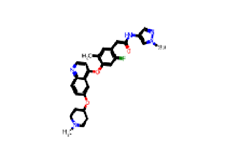 Cc1cc(CC(=O)Nc2cnn(C(C)(C)C)c2)c(F)cc1Oc1ccnc2ccc(OC3CCN(C)CC3)cc12